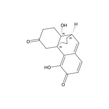 O=C1CC[C@@]2(O)[C@H]3C=C4C=CC(=O)C(O)=C4[C@@]2(CCC3)C1